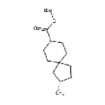 C[C@H]1CCC2(CCN(C(=O)OC(C)(C)C)CC2)C1